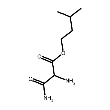 CC(C)CCOC(=O)C(N)C(N)=O